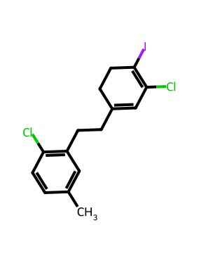 Cc1ccc(Cl)c(CCC2=CC(Cl)=C(I)CC2)c1